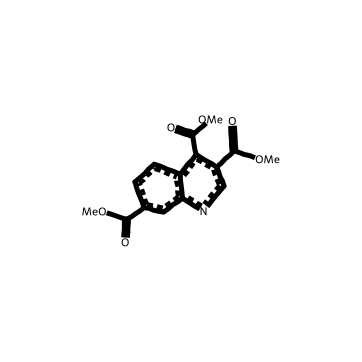 COC(=O)c1ccc2c(C(=O)OC)c(C(=O)OC)cnc2c1